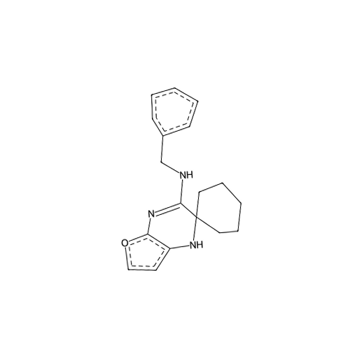 c1ccc(CNC2=Nc3occc3NC23CCCCC3)cc1